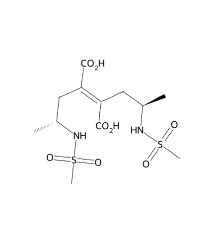 C[C@H](CC(C(=O)O)=C(C[C@@H](C)NS(C)(=O)=O)C(=O)O)NS(C)(=O)=O